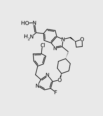 N/C(=N\O)c1ccc2c(c1)nc(C[C@H]1CC[C@H](Oc3nc(Cc4ccc(Cl)cc4)ncc3F)CC1)n2C[C@@H]1CCO1